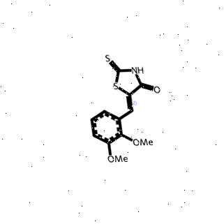 COc1cccc(/C=C2\SC(=S)NC2=O)c1OC